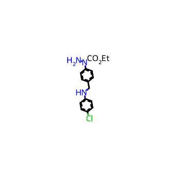 CCOC(=O)N(N)c1ccc(CNc2ccc(Cl)cc2)cc1